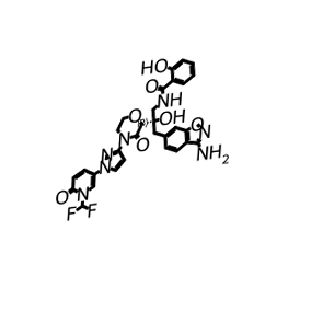 Nc1noc2cc(CC(O)(CNC(=O)c3ccccc3O)[C@H]3OCCN(c4ccn(-c5ccc(=O)n(C(F)F)c5)n4)C3=O)ccc12